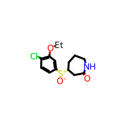 CCOc1cc([S+]([O-])C2CCCNC(=O)C2)ccc1Cl